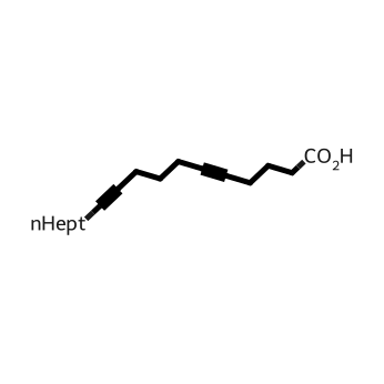 CCCCCCCC#CCCCC#CCCCC(=O)O